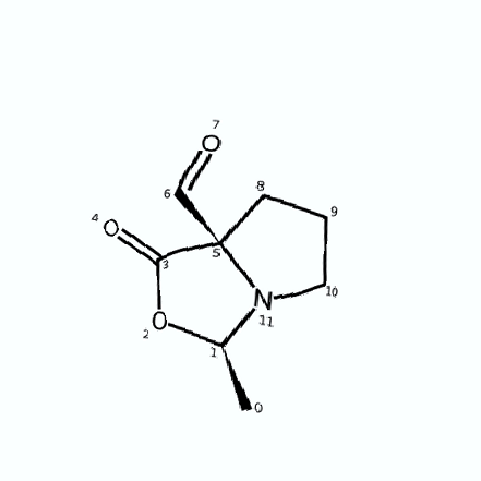 C[C@H]1OC(=O)[C@]2(C=O)CCCN12